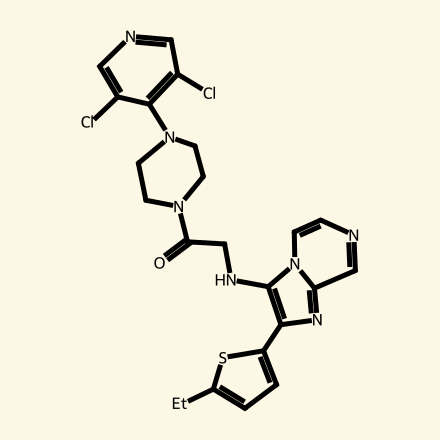 CCc1ccc(-c2nc3cnccn3c2NCC(=O)N2CCN(c3c(Cl)cncc3Cl)CC2)s1